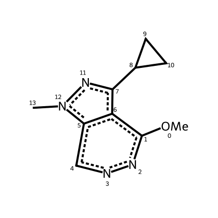 COc1nncc2c1c(C1CC1)nn2C